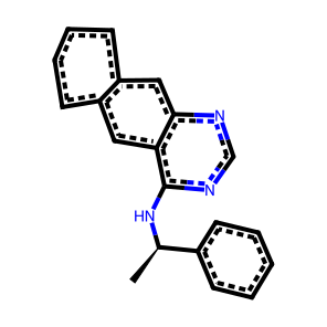 C[C@@H](Nc1ncnc2cc3ccccc3cc12)c1ccccc1